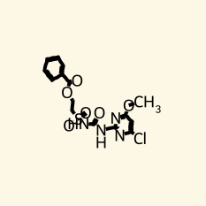 COc1cc(Cl)nc(NC(=O)NS(=O)(=O)CCOC(=O)c2ccccc2)n1